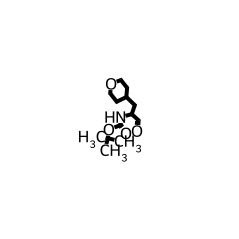 CC(C)(C)OC(=O)NC(C=O)CC1CCOCC1